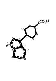 O=C(O)C1CCC(c2c[nH]c3ccccc23)CC1